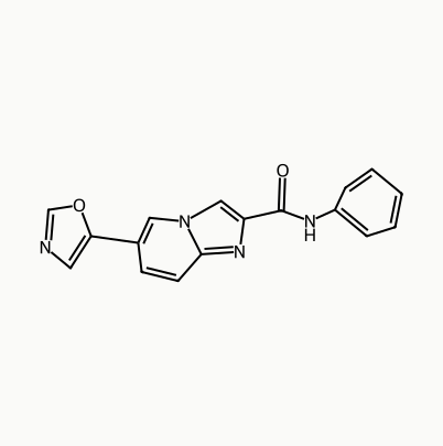 O=C(Nc1ccccc1)c1cn2cc(-c3cnco3)ccc2n1